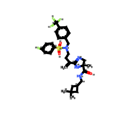 C=C(CCN(Cc1ccc(C(F)(F)F)cc1)S(=O)(=O)c1ccc(F)cc1)C1=NC[C@](C)(C(=O)NCC2CC(C)(C)C2)N1